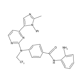 Cc1ncc(-c2ccnc(N(CC(F)(F)F)c3ccc(C(=O)Nc4ccccc4N)cc3)n2)n1C(C)C